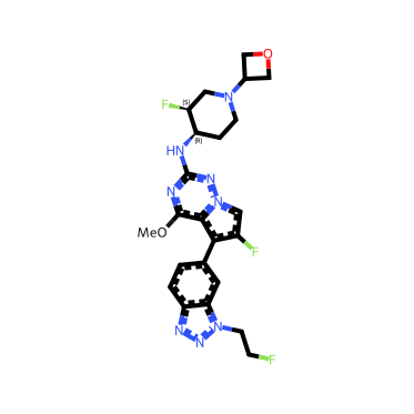 COc1nc(N[C@@H]2CCN(C3COC3)C[C@@H]2F)nn2cc(F)c(-c3ccc4nnn(CCF)c4c3)c12